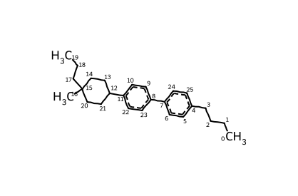 CCCCc1ccc(-c2ccc(C3CCC(C)(CCC)CC3)cc2)cc1